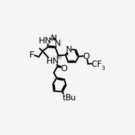 CC(C)(C)c1ccc(CC(=O)N[C@@H](c2ccc(OCC(F)(F)F)cn2)c2nn[nH]c2C(C)(C)CF)cc1